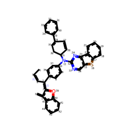 C=c1/c(=C(\C=C/C)c2ccc(N(c3ncc4sc5ccccc5c4n3)C3C=CC(c4ccccc4)=CC3)cc2)oc2ccccc12